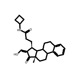 C[C@]12CCC3c4ccccc4CCC3C1[C@H](CCC(=O)NC1CCC1)/C(=C/O)C2=O